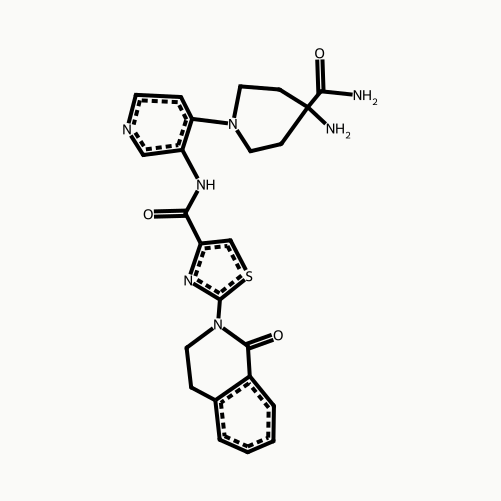 NC(=O)C1(N)CCN(c2ccncc2NC(=O)c2csc(N3CCc4ccccc4C3=O)n2)CC1